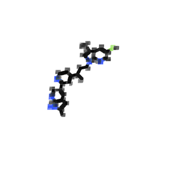 Cc1cc2cc(-c3cc(C(C)CCn4cc(C(C)C)c5cc(F)cnc54)ccn3)cnc2[nH]1